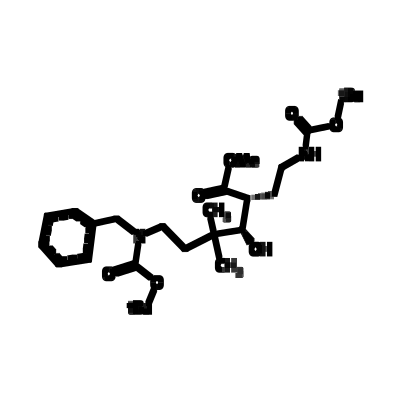 COC(=O)[C@H](CCNC(=O)OC(C)(C)C)[C@@H](O)C(C)(C)CCN(Cc1ccccc1)C(=O)OC(C)(C)C